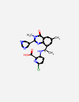 Cc1cc([C@@H](C)Nc2ccc(Cl)nc2C(=O)O)c2nc(-c3cncnc3)n(C)c(=O)c2c1